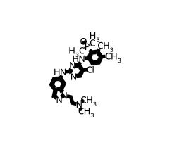 Cc1ccc(Nc2nc(Nc3ccc4cnn(CCN(C)C)c4c3)ncc2Cl)c(P(C)(C)=O)c1C